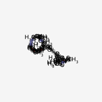 COC[C@H]1OC(=O)/C(=C/N(C)CCCN(C)C)C2=C(O)C(=O)C3=C([C@H](OC(C)=O)C[C@@]4(C)C3CC[C@@H]4OC(=O)CCCCCCC(=O)O[C@H]3CC[C@H](C[C@@H](C)[C@@H]4CC(=O)[C@H](C)/C=C(\C)[C@@H](O)[C@@H](OC)C(=O)[C@H](C)C[C@H](C)/C=C/C=C/C=C(\C)[C@@H](OC)C[C@@H]5CC[C@@H](C)[C@@](O)(O5)C(=O)C(=O)N5CCCC[C@H]5C(=O)O4)CC3)[C@]21C